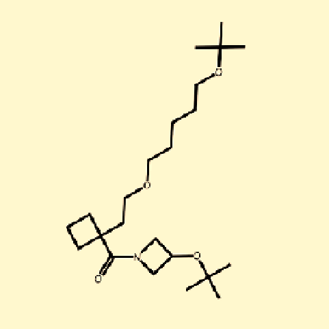 CC(C)(C)OCCCCCOCCC1(C(=O)N2CC(OC(C)(C)C)C2)CCC1